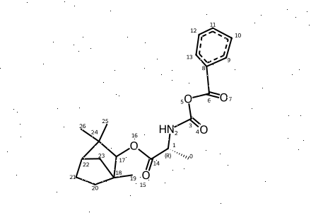 C[C@@H](NC(=O)OC(=O)c1ccccc1)C(=O)OC1C2(C)CCC(C2)C1(C)C